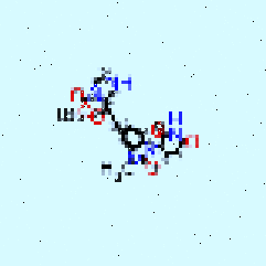 Cn1c(=O)n(C2CCC(=O)NC2=O)c2ccc(CCC(=O)C3CNCCN3C(=O)OC(C)(C)C)cc21